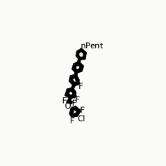 CCCCCC1CCC(c2ccc(-c3ccc(-c4ccc(C(F)(F)Oc5cc(F)c(Cl)c(F)c5)c(F)c4)c(F)c3)cc2)CC1